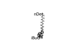 CCCCCCCCCCCCCCCCCCCCCCOC(=O)CN(C)C(=O)OCC(C)C